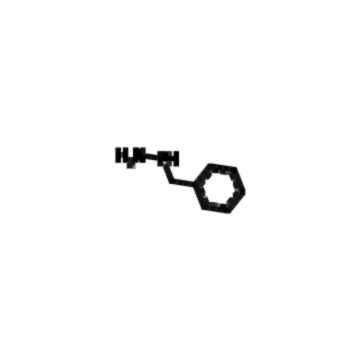 NPCc1ccccc1